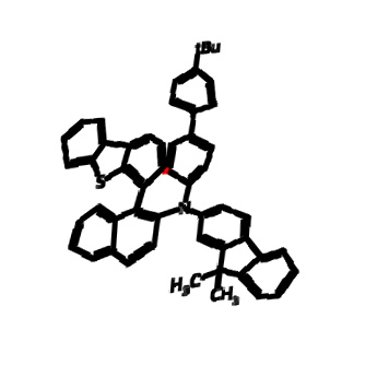 CC(C)(C)c1ccc(-c2ccc(N(c3ccc4c(c3)C(C)(C)c3ccccc3-4)c3ccc4ccccc4c3-c3cccc4c3sc3ccccc34)cc2)cc1